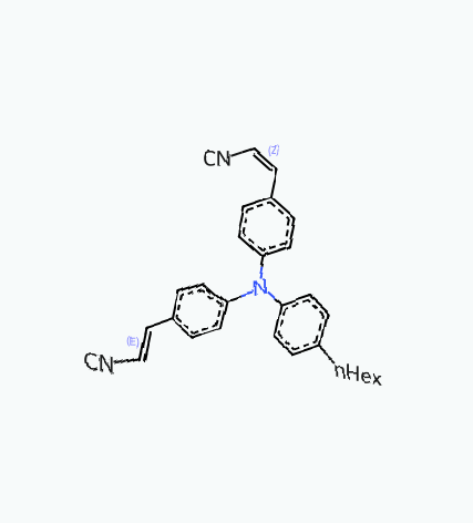 [C-]#[N+]/C=C\c1ccc(N(c2ccc(/C=C/[N+]#[C-])cc2)c2ccc(CCCCCC)cc2)cc1